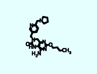 CCCCOc1nc(N)c2c(n1)CN(Cc1ccc(CN3CCCC3)nc1)C(=O)N2